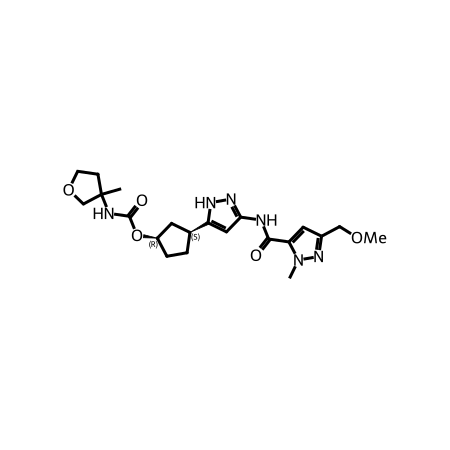 COCc1cc(C(=O)Nc2cc([C@H]3CC[C@@H](OC(=O)NC4(C)CCOC4)C3)[nH]n2)n(C)n1